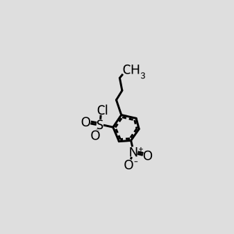 CCCCc1ccc([N+](=O)[O-])cc1S(=O)(=O)Cl